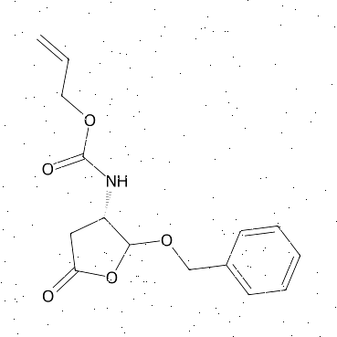 C=CCOC(=O)N[C@H]1CC(=O)OC1OCc1ccccc1